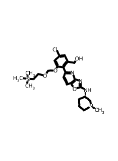 CN1CCC[C@@H](Nc2nc3nc(-c4c(CO)cc(Cl)cc4OCOCC[Si](C)(C)C)ccc3o2)C1